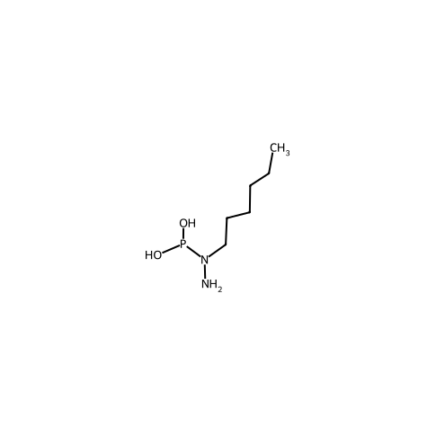 CCCCCCN(N)P(O)O